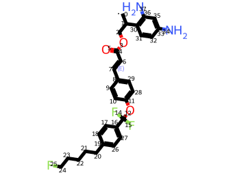 [CH2]C(COC(=O)/C=C/c1ccc(OC(F)(F)c2ccc(CCCCCF)cc2)cc1)c1ccc(N)cc1N